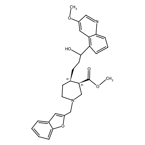 COC(=O)[C@H]1CN(Cc2cc3ccccc3o2)CC[C@H]1CCC(O)c1cccc2ncc(OC)cc12